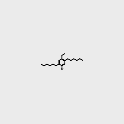 CCCCCCc1cc(CC)c(CCCCCC)cc1Br